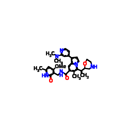 C=C(c1c(C)c(C(=O)NCc2c(OC)cc(C)[nH]c2=O)cc2c(-c3ccnc(N(C)C)c3)ccn12)C1CNCCO1